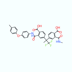 CNC(=O)c1cc(C(C)(c2ccc(C(=O)O)c(C(=O)Nc3ccc(Oc4ccc(C)cc4)cc3)c2)C(F)(F)F)ccc1C(=O)O